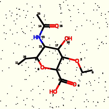 CCOC1C(C(=O)O)OC(CC)C(NC(C)=O)C1O